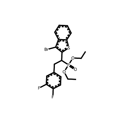 CCOP(=O)(OCC)C(Cc1ccc(F)c(F)c1)c1sc2ccccc2c1Br